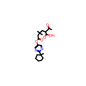 CC(=O)C(CC(C)(C)CC(=O)Oc1cnc(C2(C)CCCCC2)nc1)C(=O)O